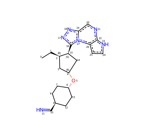 CC[C@@H]1C[C@@H](O[C@H]2CC[C@H](C=N)CC2)C[C@@H]1c1nnc2cnc3[nH]ccc3n12